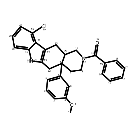 COc1cccc(C23CCN(C(=O)c4ccccc4)CC2Cc2c([nH]c4cccc(Cl)c24)C3)c1